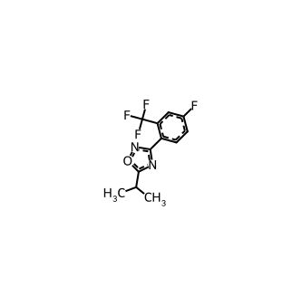 CC(C)c1nc(-c2ccc(F)cc2C(F)(F)F)no1